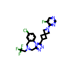 Fc1cncnc1N1CC2(CC(c3nnc4n3-c3ccc(Cl)cc3CN(CC(F)(F)F)C4)C2)C1